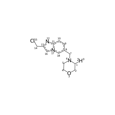 [2H]C1COCCN1Cc1ccc2nc(CCl)cn2c1